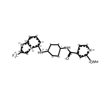 COc1cc(C(=O)NC2CCC(Nc3cccc4nc(C(F)(F)F)cn34)CC2)ccn1